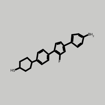 Bc1ccc(-c2ccc(-c3ccc(C4CCC(S)CC4)cc3)c(F)c2)cc1